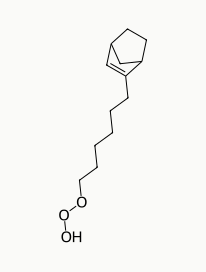 OOOCCCCCCC1=CC2CCC1C2